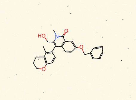 Cc1c(-c2c(CO)n(C)c(=O)c3cc(OCc4ccccc4)ccc23)ccc2c1CCCO2